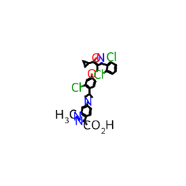 Cn1nc(C(=O)O)c2ccc(N3CC(c4ccc(OCc5c(-c6c(Cl)cccc6Cl)noc5C5CC5)cc4Cl)C3)cc21